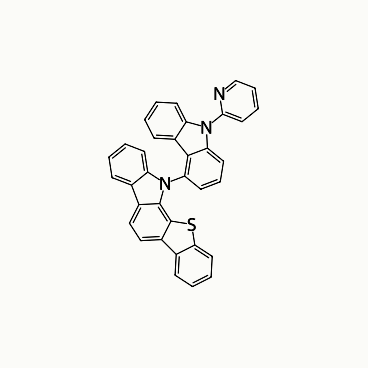 c1ccc(-n2c3ccccc3c3c(-n4c5ccccc5c5ccc6c7ccccc7sc6c54)cccc32)nc1